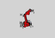 COc1cc2cc(c1Cl)N(C)C(=O)C[C@H](OC(=O)[C@H](C)N(C)C(=O)CCCC(=O)N(C)CCOCCOCCOCCOCCC(=O)N(C)CCCCCC(=O)N1Cc3ccccc3-c3nnn(Cc4ccc(CC(N)C(=O)O)cc4)c3-c3ccccc31)[C@]1(C)O[C@H]1[C@H](C)[C@@H]1C[C@@](O)(NC(=O)O1)[C@H](OC)/C=C/C=C(\C)C2